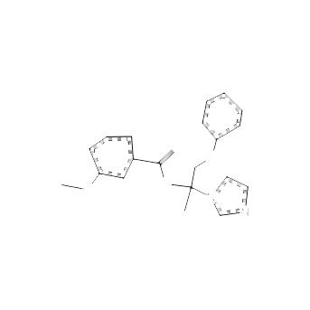 COc1cccc(C(=O)OC(C)(COc2ccccc2)n2ccnc2)c1